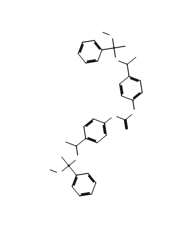 CCOC(C)(OC(C)c1ccc(OC(=O)Oc2ccc(C(C)OC(C)(OCC)c3ccccc3)cc2)cc1)c1ccccc1